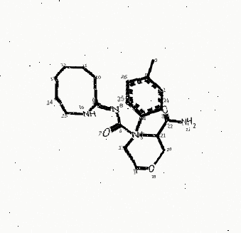 Cc1ccc([N+]2(C(=O)N=C3CCCCCCN3)CCOCC2C(N)=O)cc1